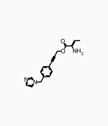 CC=C(N)C(=O)OCC#Cc1ccc(Cn2ccnc2)cc1